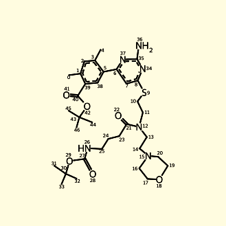 Cc1cc(C)c(-c2cc(SCCN(CCN3CCOCC3)C(=O)CCCNC(=O)OC(C)(C)C)nc(N)n2)cc1C(=O)OC(C)(C)C